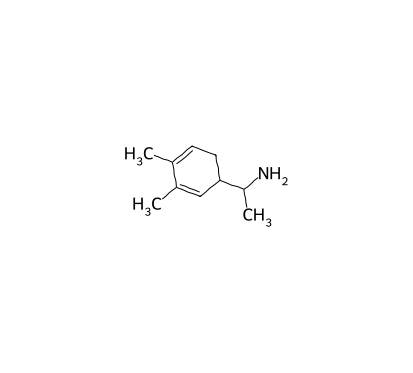 CC1=CCC(C(C)N)C=C1C